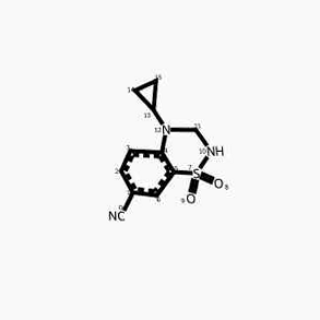 N#Cc1ccc2c(c1)S(=O)(=O)NCN2C1CC1